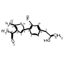 C=C(O)Cc1ccc(-c2cc(C(N)=O)c(N)s2)c(F)c1